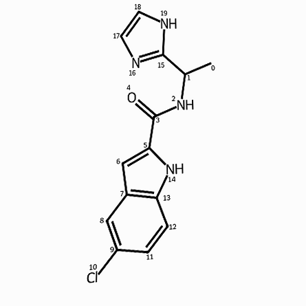 CC(NC(=O)c1cc2cc(Cl)ccc2[nH]1)c1ncc[nH]1